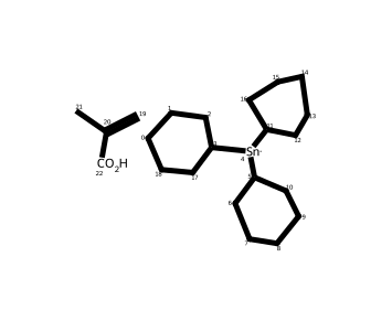 C1CC[CH]([Sn]([CH]2CCCCC2)[CH]2CCCCC2)CC1.C=C(C)C(=O)O